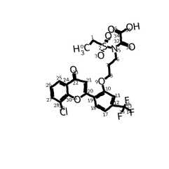 CCS(=O)(=O)N(CCCOc1cc(C(F)(F)F)ccc1-c1cc(=O)c2cccc(Cl)c2o1)C(=O)C(=O)O